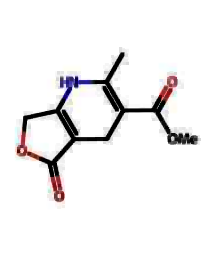 COC(=O)C1=C(C)NC2=C(C1)C(=O)OC2